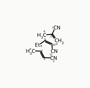 C/C=C/C#N.C=C(C)C#N.CC/C=C\C#N